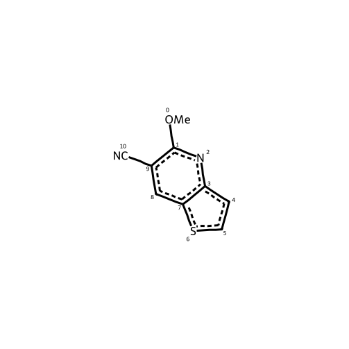 COc1nc2ccsc2cc1C#N